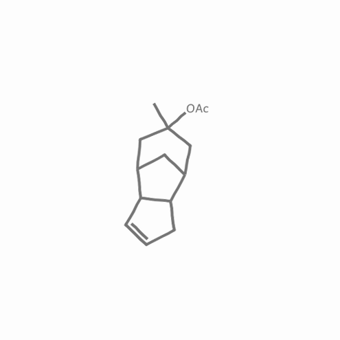 CC(=O)OC1(C)CC2CC(C1)C1CC=CC21